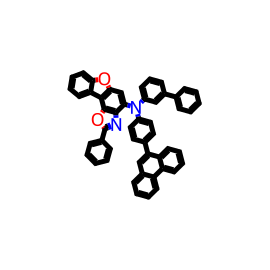 c1ccc(-c2cccc(N(c3ccc(-c4cc5ccccc5c5ccccc45)cc3)c3cc4oc5ccccc5c4c4oc(-c5ccccc5)nc34)c2)cc1